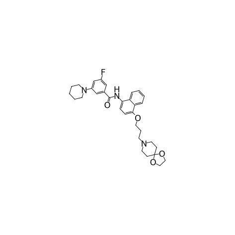 O=C(Nc1ccc(OCCCN2CCC3(CC2)OCCO3)c2ccccc12)c1cc(F)cc(N2CCCCC2)c1